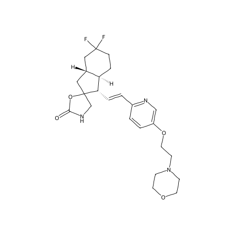 O=C1NCC2(C[C@@H]3CC(F)(F)CC[C@H]3[C@@H]2/C=C/c2ccc(OCCN3CCOCC3)cn2)O1